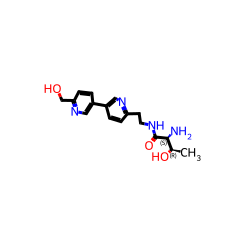 C[C@@H](O)[C@H](N)C(=O)NCCc1ccc(-c2ccc(CO)nc2)cn1